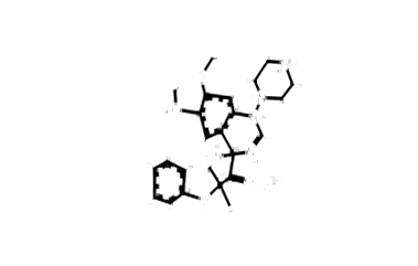 COc1cc2c(cc1OC)C(N)(C(=O)C(C)(C)Oc1ccccc1)N=CN2N1CCNCC1.Cl